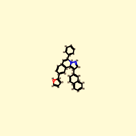 c1ccc(-c2cc3ccc(-c4ccco4)cc3c3c(-c4ccc5ccccc5c4)cnn23)cc1